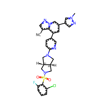 Cn1cc(-c2cc(-c3ccc(N4C[C@@H]5CN(S(=O)(=O)c6c(F)cccc6Cl)C[C@@H]5C4)nc3)c3c(C#N)cnn3c2)cn1